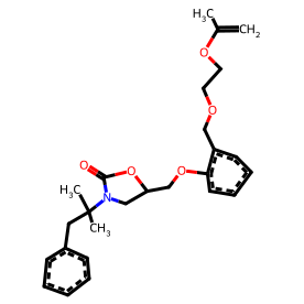 C=C(C)OCCOCc1ccccc1OCC1CN(C(C)(C)Cc2ccccc2)C(=O)O1